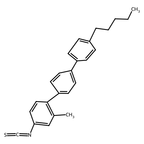 CCCCCc1ccc(-c2ccc(-c3ccc(N=C=S)cc3C)cc2)cc1